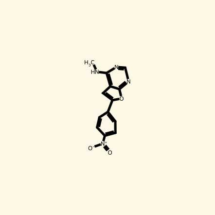 CNc1ncnc2oc(-c3ccc([N+](=O)[O-])cc3)cc12